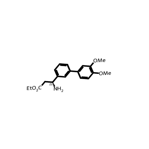 CCOC(=O)C[C@H](N)c1cccc(-c2ccc(OC)c(OC)c2)c1